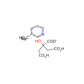 O=C(O)CC(O)(CC(=O)O)C(=O)[O-].O=C(O)c1cccnc1.[Na+]